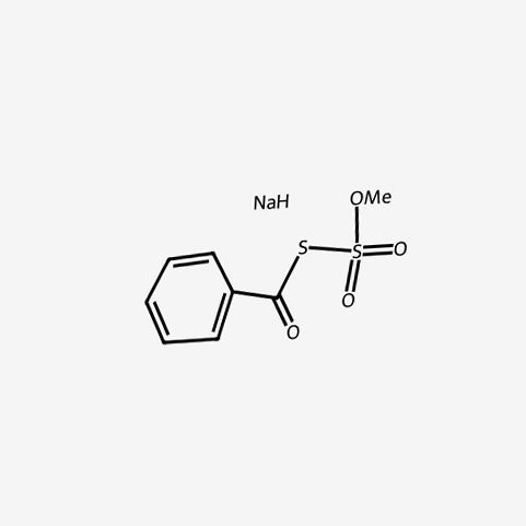 COS(=O)(=O)SC(=O)c1ccccc1.[NaH]